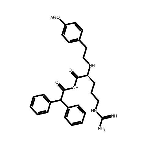 COc1ccc(CCN[C@@H](CCCNC(=N)N)C(=O)NC(=O)C(c2ccccc2)c2ccccc2)cc1